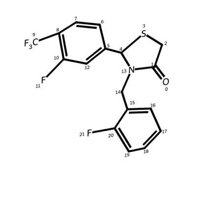 O=C1CSC(c2ccc(C(F)(F)F)c(F)c2)N1Cc1ccccc1F